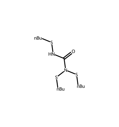 CCCCSNC(=O)N(SCCCC)SCCCC